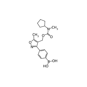 Cc1onc(-c2ccc(B(O)O)cc2)c1COC(=O)N(C)C1CCCC1